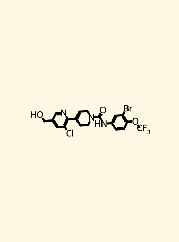 O=C(Nc1ccc(OC(F)(F)F)c(Br)c1)N1CC=C(c2ncc(CO)cc2Cl)CC1